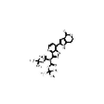 CC(C)(C)OC(=O)N(C(=O)OC(C)(C)C)c1noc2c(-c3cc4c([nH]3)CCNC4=O)ccnc12